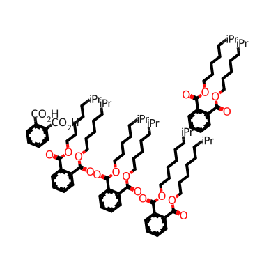 CC(C)CCCCCCOC(=O)c1ccccc1C(=O)OCCCCCCC(C)C.CC(C)CCCCCOC(=O)c1ccccc1C(=O)OCCCCCC(C)C.CC(C)CCCCCOC(=O)c1ccccc1C(=O)OCCCCCC(C)C.CC(C)CCCCCOC(=O)c1ccccc1C(=O)OCCCCCC(C)C.O=C(O)c1ccccc1C(=O)O